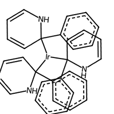 C1=CN[C](c2ccccc2)([Ir]([C]2(c3ccccc3)C=CC=CN2)[C]2(c3ccccc3)C=CC=CN2)C=C1